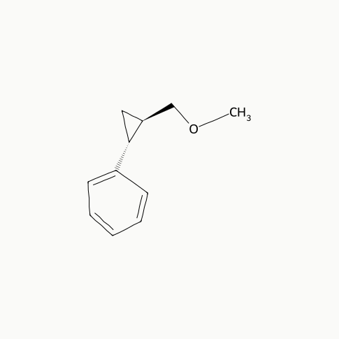 COC[C@@H]1C[C@H]1c1ccccc1